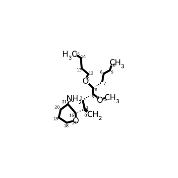 C=C(C[C@@H](OC)[C@@H](CCCC)OCCCC)[C@@H]1OCCC[C@H]1N